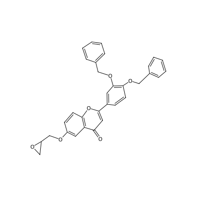 O=c1cc(-c2ccc(OCc3ccccc3)c(OCc3ccccc3)c2)oc2ccc(OCC3CO3)cc12